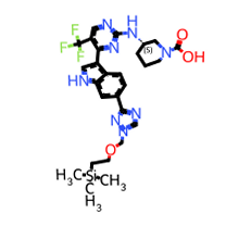 C[Si](C)(C)CCOCn1cnc(-c2ccc3c(-c4nc(N[C@H]5CCCN(C(=O)O)C5)ncc4C(F)(F)F)c[nH]c3c2)n1